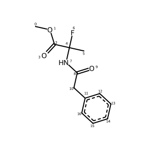 COC(=O)C(C)(F)NC(=O)Cc1ccccc1